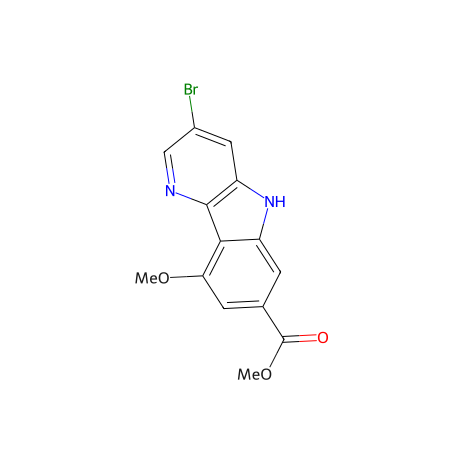 COC(=O)c1cc(OC)c2c(c1)[nH]c1cc(Br)cnc12